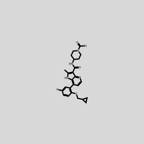 CCC(=O)N1CCC(NC(=O)c2c(C)[nH]c3c(-c4cc(F)ccc4OCC4CC4)ccnc23)CC1